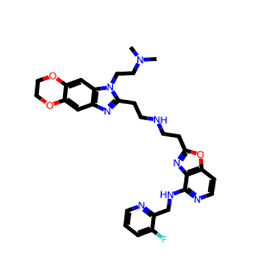 CN(C)CCn1c(CCNCCc2nc3c(NCc4ncccc4F)nccc3o2)nc2cc3c(cc21)OCCO3